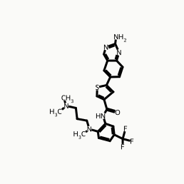 CN(C)CCCN(C)c1ccc(C(F)(F)F)cc1NC(=O)c1csc(-c2ccc3nc(N)ncc3c2)c1